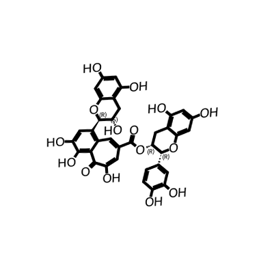 O=C(O[C@@H]1Cc2c(O)cc(O)cc2O[C@@H]1c1ccc(O)c(O)c1)c1cc(O)c(=O)c2c(O)c(O)cc([C@H]3Oc4cc(O)cc(O)c4C[C@@H]3O)c2c1